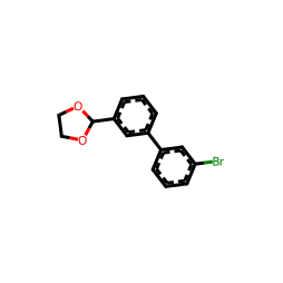 Brc1cccc(-c2cccc(C3OCCO3)c2)c1